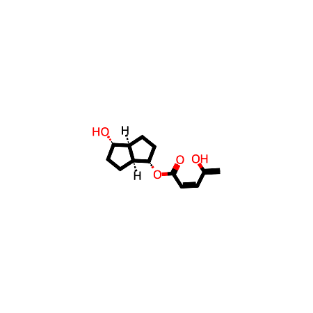 C=C(O)/C=C\C(=O)O[C@H]1CC[C@H]2[C@@H]1CC[C@@H]2O